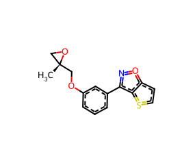 C[C@@]1(COc2cccc(-c3noc4ccsc34)c2)CO1